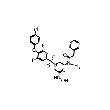 CN(CCN(CC(=O)NO)S(=O)(=O)c1cc(F)c(Oc2ccc(Cl)cc2)c(F)c1)C(=O)Cc1cccnc1